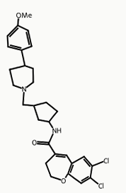 COc1ccc(C2CCN(CC3CCC(NC(=O)C4=Cc5cc(Cl)c(Cl)cc5OCC4)C3)CC2)cc1